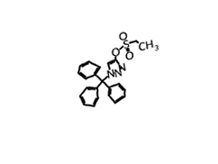 CCS(=O)(=O)Oc1cn(C(c2ccccc2)(c2ccccc2)c2ccccc2)nn1